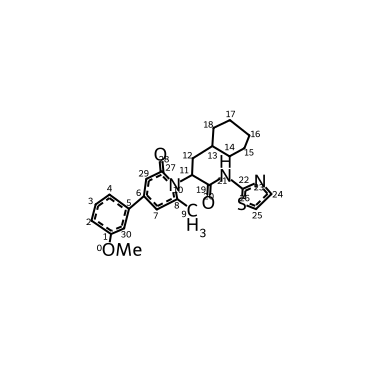 COc1cccc(-c2cc(C)n(C(CC3CCCCC3)C(=O)Nc3nccs3)c(=O)c2)c1